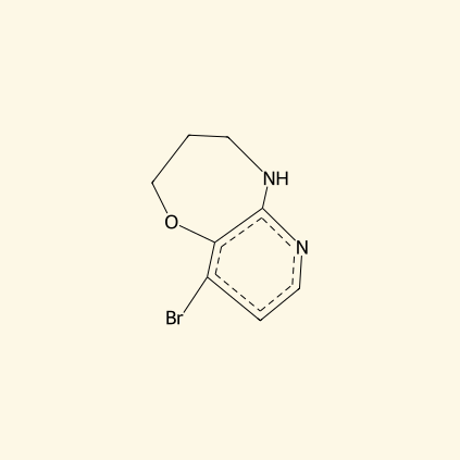 Brc1ccnc2c1OCCCN2